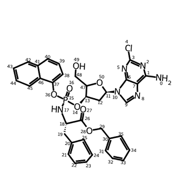 Nc1nc(Cl)nc2c1ncn2[C@H]1C[C@@H](OP(=O)(N[C@@H](Cc2ccccc2)C(=O)OCc2ccccc2)Oc2cccc3ccccc23)C(CO)O1